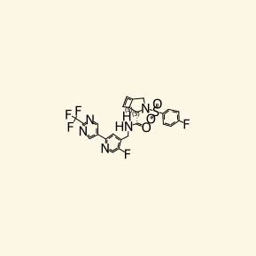 O=C(NCc1cc(-c2cnc(C(F)(F)F)nc2)ncc1F)[C@@H]1[C@H]2C=C=C2CN1S(=O)(=O)c1ccc(F)cc1